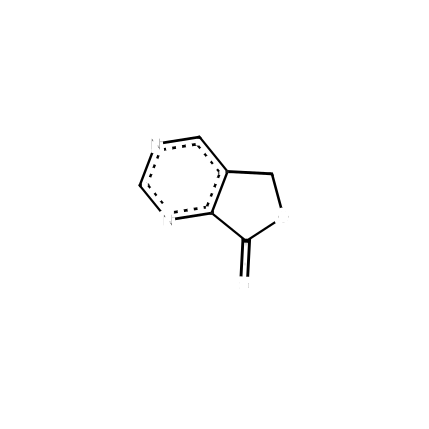 O=C1OCc2cncnc21